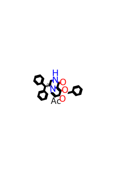 CC(=O)c1cn2c(c(OCc3ccccc3)c1=O)C(=O)NC[C@@H]2C(c1ccccc1)c1ccccc1